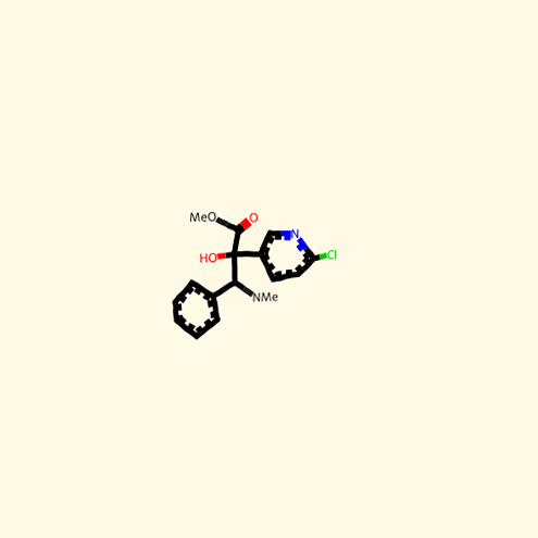 CNC(c1ccccc1)C(O)(C(=O)OC)c1ccc(Cl)nc1